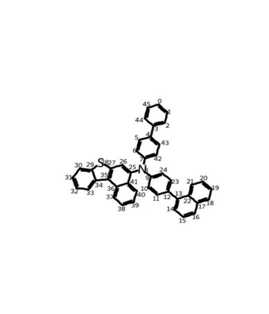 c1ccc(-c2ccc(N(c3ccc(-c4cccc5ccccc45)cc3)c3cc4sc5ccccc5c4c4ccccc34)cc2)cc1